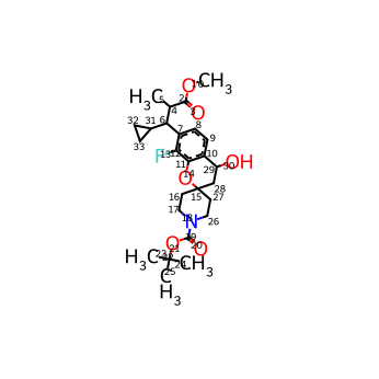 COC(=O)C(C)C(c1ccc2c(c1F)OC1(CCN(C(=O)OC(C)(C)C)CC1)CC2O)C1CC1